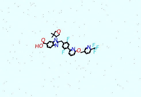 CC1(C)COC[C@H]1n1c(Cc2cc(F)c(-c3cccc(OCc4ccc(C(F)(F)F)nc4)n3)cc2F)nc2ccc(C(=O)O)cc21